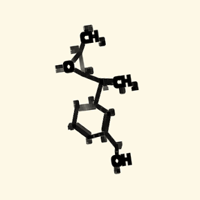 C=C(c1cccc(CO)c1)C1OC1C